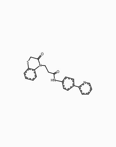 O=C(CCN1C(=O)CSc2ccccc21)Nc1ccc(-c2ccccn2)cc1